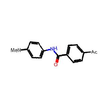 CNc1ccc(NC(=O)c2ccc(C(C)=O)cc2)cc1